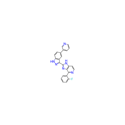 Fc1ccccc1-c1nccc2[nH]c(-c3n[nH]c4ccc(-c5cccnc5)cc34)nc12